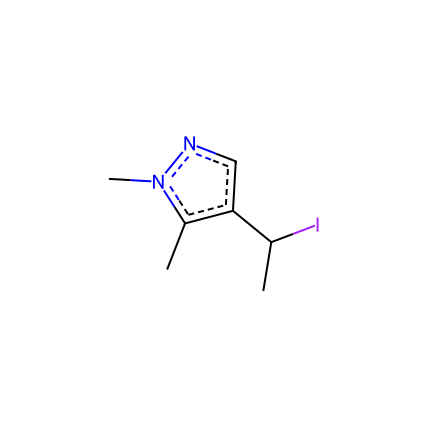 Cc1c(C(C)I)cnn1C